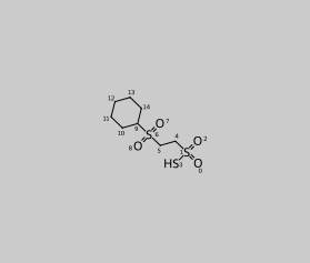 O=S(=O)(S)CCS(=O)(=O)C1CCCCC1